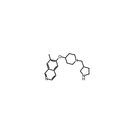 Cc1cc2cnccc2cc1OC1CCN(CC2CCNC2)CC1